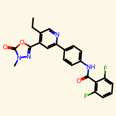 CCc1cnc(-c2ccc(NC(=O)c3c(F)cccc3F)cc2)cc1-c1nn(C)c(=O)o1